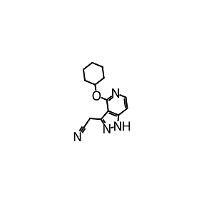 N#CCc1n[nH]c2ccnc(OC3CCCCC3)c12